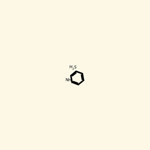 N.S.c1ccccc1